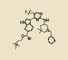 CC1(C)CC(Nc2ncc(C(F)(F)F)c(-c3c[nH]c4cc(C(Br)OCC[Si](C)(C)C)ccc34)n2)CN(Cc2ccccc2)C1